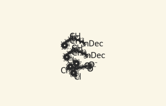 CCCCCCCCCCCCCCCC[N+](C)(C)CCCc1ccccc1.CCCCCCCCCCCCCCCC[N+](C)(C)CCCc1ccccc1.[O-]B([O-])OCCCCCC(c1cccc(Cl)c1)(c1cccc(Cl)c1)c1cccc(Cl)c1